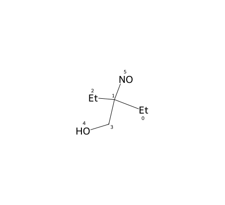 CCC(CC)(CO)N=O